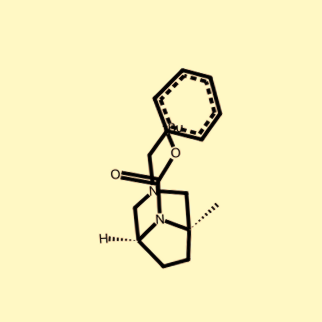 CC(C)(C)OC(=O)N1[C@H]2CC[C@]1(C)CN(Cc1ccccc1)C2